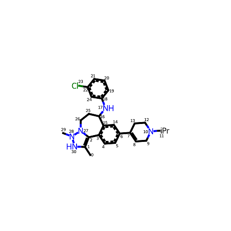 CC1=C2c3ccc(C4=CCN(C(C)C)CC4)cc3C(Nc3cccc(Cl)c3)CCN2N(C)N1